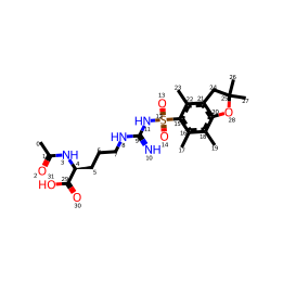 CC(=O)N[C@@H](CCCNC(=N)NS(=O)(=O)c1c(C)c(C)c2c(c1C)CC(C)(C)O2)C(=O)O